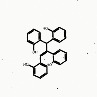 Oc1ccccc1C=C([C](c1ccccc1O)c1ccccc1O)c1ccccc1O